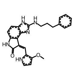 COc1cc[nH]c1C=C1C(=O)Nc2ccc3[nH]c(NCCCc4ccccc4)nc3c21